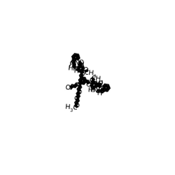 COCCOCCOCCN(CCCC=O)c1cc(COC2=C(OC)C[C@H]3C(=O)N4c5ccccc5C[C@H]4CN[C@H]3C2)cc(COC2=C(OC)C[C@@H]3C(=O)N4c5ccccc5C[C@H]4CN[C@@H]3C2)c1